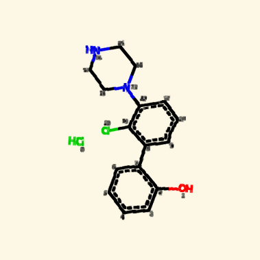 Cl.Oc1ccccc1-c1cccc(N2CCNCC2)c1Cl